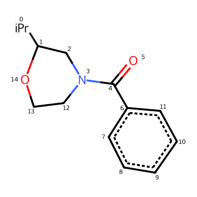 CC(C)C1CN(C(=O)c2ccccc2)CCO1